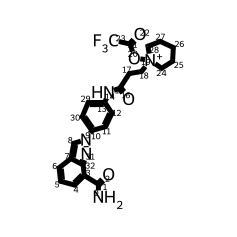 NC(=O)c1cccc2cn(-c3ccc(NC(=O)CC[N+]4(OC(=O)C(F)(F)F)CCCCC4)cc3)nc12